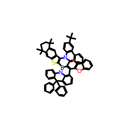 CC(C)(C)c1ccc(N2c3cc4c(oc5ccccc54)c4c3B(c3sc5cc6c(cc5c32)C(C)(C)CCC6(C)C)N2c3ccccc3C(c3ccccc3)(c3ccccc3)c3cccc-4c32)c(-c2ccccc2)c1